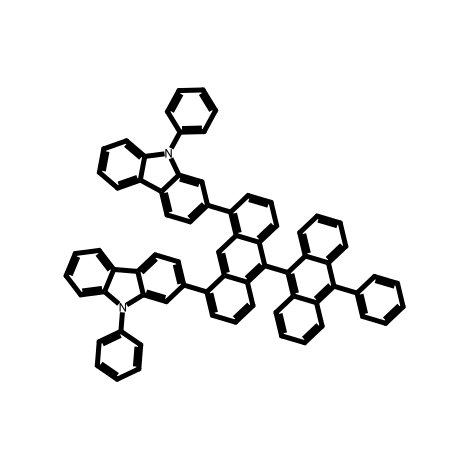 c1ccc(-c2c3ccccc3c(-c3c4cccc(-c5ccc6c7ccccc7n(-c7ccccc7)c6c5)c4cc4c(-c5ccc6c7ccccc7n(-c7ccccc7)c6c5)cccc34)c3ccccc23)cc1